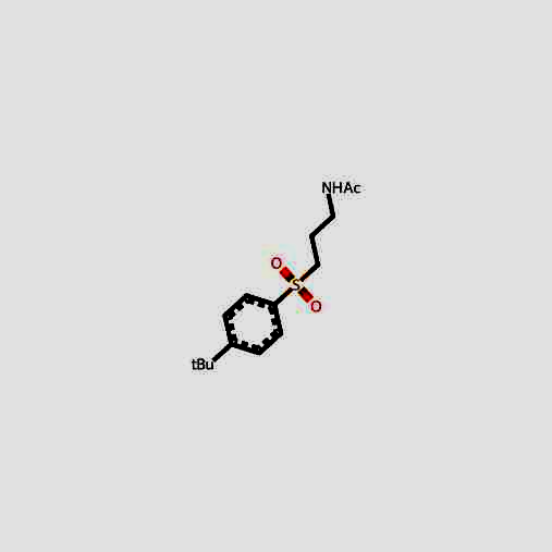 CC(=O)NCCCS(=O)(=O)c1ccc(C(C)(C)C)cc1